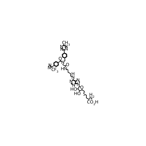 Cc1nnc(-c2ccc(CN(CC(=O)NCCCCNc3ncnc4c3ncn4C3OC(CSCC[C@H](N)C(=O)O)C(O)C3O)C(=O)c3ccc(C4(C(F)(F)F)N=N4)cc3)cc2)nn1